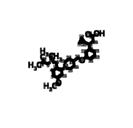 COc1ccc(CN(C)CC(C)C)c(N2CCC(COc3cccc(C(CC(=O)O)C4CC4)c3)CC2)c1